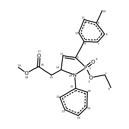 CCOP1(=O)C(c2ccc(C)cc2)=CC(CC(=O)OC)N1c1ccccc1